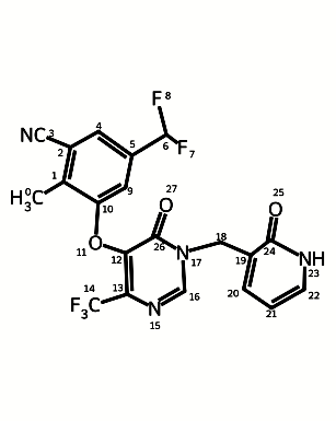 Cc1c(C#N)cc(C(F)F)cc1Oc1c(C(F)(F)F)ncn(Cc2ccc[nH]c2=O)c1=O